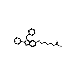 O=C(O)CCCCCOc1ccc2nc(-c3ccccc3)n(Cc3ccccc3)c2c1